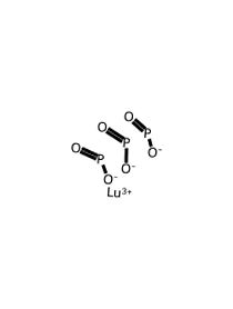 O=P[O-].O=P[O-].O=P[O-].[Lu+3]